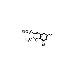 CCOC(=O)C1=Cc2cc(S)cc(CC)c2OC1C(F)(F)F